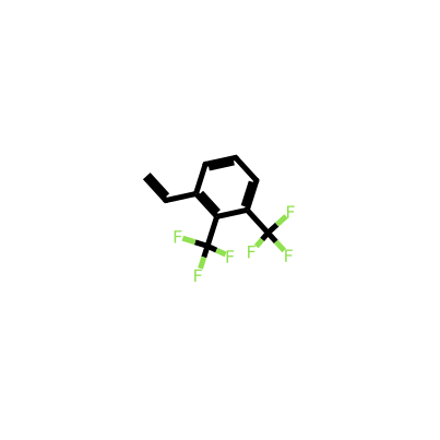 C=Cc1cccc(C(F)(F)F)c1C(F)(F)F